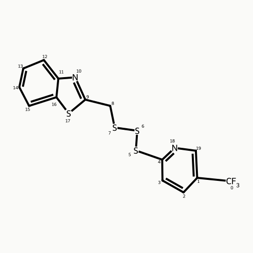 FC(F)(F)c1ccc(SSSCc2nc3ccccc3s2)nc1